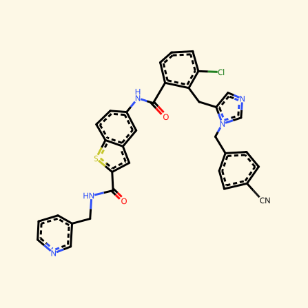 N#Cc1ccc(Cn2cncc2Cc2c(Cl)cccc2C(=O)Nc2ccc3sc(C(=O)NCc4cccnc4)cc3c2)cc1